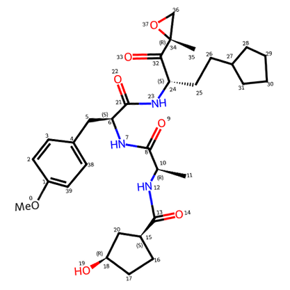 COc1ccc(C[C@H](NC(=O)[C@@H](C)NC(=O)[C@H]2CC[C@@H](O)C2)C(=O)N[C@@H](CCC2CCCC2)C(=O)[C@@]2(C)CO2)cc1